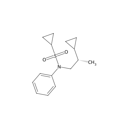 C[C@H](CN(c1ccccc1)S(=O)(=O)C1CC1)C1CC1